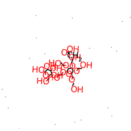 OCCOC[C@H]1O[C@H](OCCO)[C@H](OCCO)[C@@H](OCCO)[C@@H]1OCCO.OC[C@H]1O[C@H](O)[C@H](O)[C@@H](O)[C@@H]1O.[CH2]C(=O)O